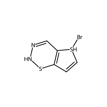 Br[SH]1C=CC2=C1C=NNS2